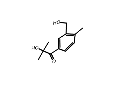 Cc1ccc(C(=O)C(C)(C)O)cc1CO